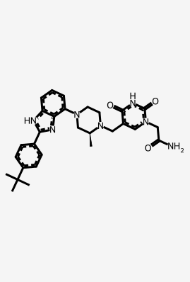 C[C@H]1CN(c2cccc3[nH]c(-c4ccc(C(C)(C)C)cc4)nc23)CCN1Cc1cn(CC(N)=O)c(=O)[nH]c1=O